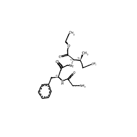 CCOC(=O)[C@@H](NC(=O)[C@H](Cc1ccccc1)NC(=O)CN)[C@@H](C)CC